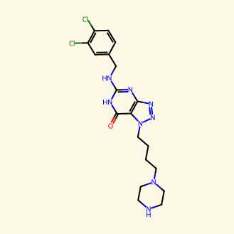 O=c1[nH]c(NCc2ccc(Cl)c(Cl)c2)nc2nnn(CCCCN3CCNCC3)c12